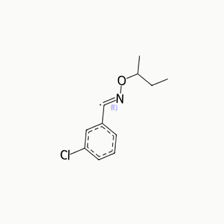 CCC(C)O/N=[C]/c1cccc(Cl)c1